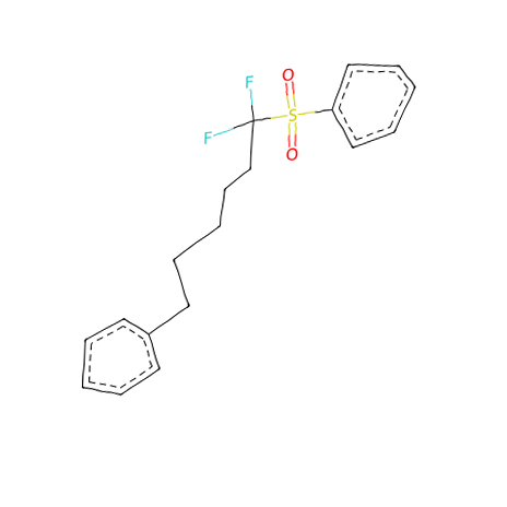 O=S(=O)(c1ccccc1)C(F)(F)CCCCCc1ccccc1